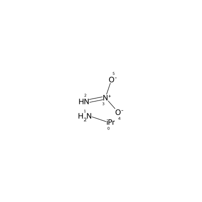 CC(C)N.N=[N+]([O-])[O-]